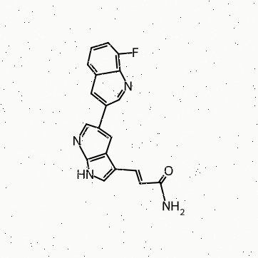 NC(=O)C=Cc1c[nH]c2ncc(-c3cnc4c(F)cccc4c3)cc12